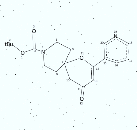 CC(C)(C)OC(=O)N1CCC2(CC1)CC(=O)C=C(c1cccnc1)O2